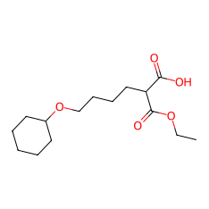 CCOC(=O)C(CCCCOC1CCCCC1)C(=O)O